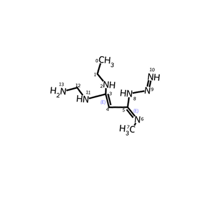 CCN/C(=C\C(=N/C)NN=N)NCN